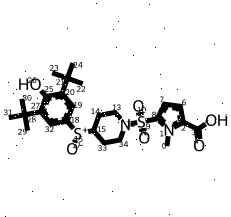 Cn1c(C(=O)O)ccc1S(=O)(=O)N1CCC([S+]([O-])c2cc(C(C)(C)C)c(O)c(C(C)(C)C)c2)CC1